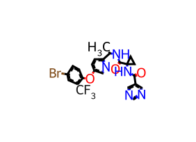 CC(NC(=O)C1(NC(=O)c2cncnc2)CC1)c1ccc(Oc2ccc(Br)cc2C(F)(F)F)cn1